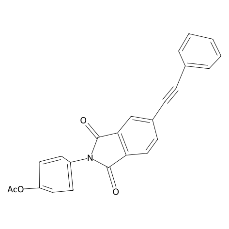 CC(=O)Oc1ccc(N2C(=O)c3ccc(C#Cc4ccccc4)cc3C2=O)cc1